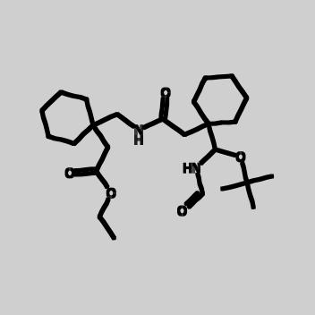 CCOC(=O)CC1(CNC(=O)CC2(C(NC=O)OC(C)(C)C)CCCCC2)CCCCC1